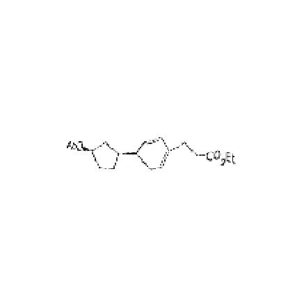 CCOC(=O)CCC1=CCC([C@H]2CC[C@@H](OC(C)=O)C2)C=C1